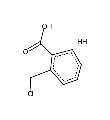 O=C(O)c1ccccc1CCl.[HH]